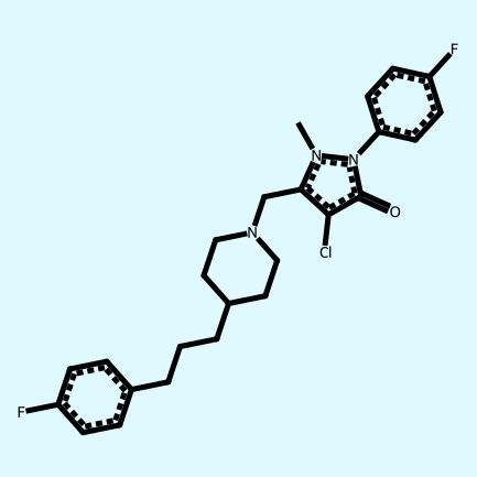 Cn1c(CN2CCC(CCCc3ccc(F)cc3)CC2)c(Cl)c(=O)n1-c1ccc(F)cc1